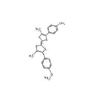 COc1ccc(C2=C(C)S/C(=C3\SC(C)=C(c4ccc(C)cc4)S3)S2)cc1